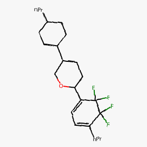 CCCC1=CC=C(C2CCC(C3CCC(CCC)CC3)CO2)C(F)(F)C1(F)F